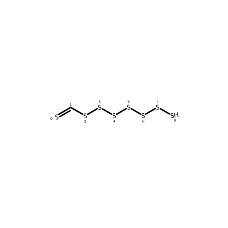 S=CSSSSSSS